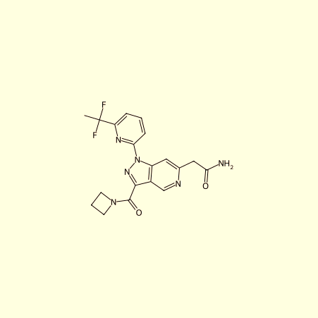 CC(F)(F)c1cccc(-n2nc(C(=O)N3CCC3)c3cnc(CC(N)=O)cc32)n1